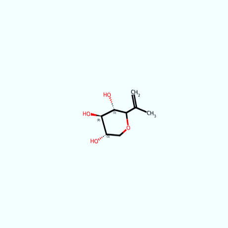 C=C(C)C1OC[C@H](O)[C@@H](O)[C@@H]1O